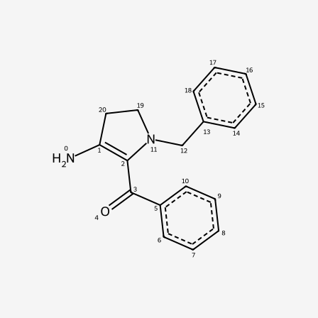 NC1=C(C(=O)c2ccccc2)N(Cc2ccccc2)CC1